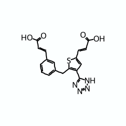 O=C(O)C=Cc1cccc(Cc2sc(C=CC(=O)O)cc2-c2nnn[nH]2)c1